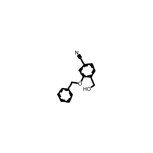 N#Cc1ccc(CO)c(OCc2ccccc2)c1